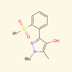 Cc1c(O)c(-c2ccccc2S(=O)(=O)C(C)C)nn1C(C)(C)C